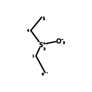 [CH2]C[S+]([O-])C[CH2]